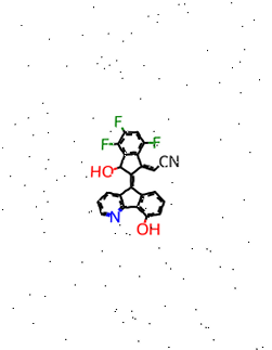 N#C/C=C1/C(=C2/c3cccnc3-c3c(O)cccc32)C(O)c2c(F)c(F)cc(F)c21